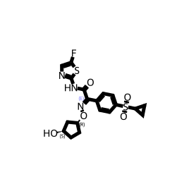 O=C(Nc1ncc(F)s1)/C(=N/O[C@@H]1CC[C@H](O)C1)c1ccc(S(=O)(=O)C2CC2)cc1